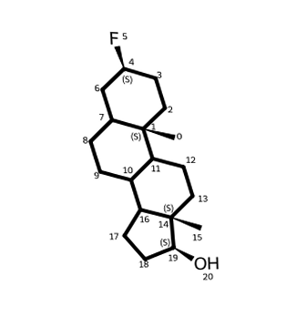 C[C@]12CC[C@H](F)CC1CCC1C2CC[C@@]2(C)C1CC[C@@H]2O